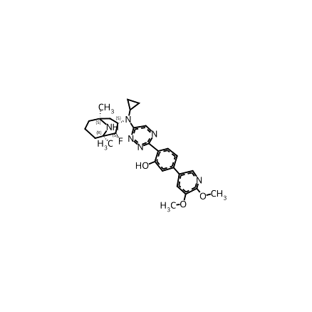 COc1cc(-c2ccc(-c3ncc(N(C4CC4)[C@H]4C[C@]5(C)CCC[C@@](C)(N5)[C@H]4F)nn3)c(O)c2)cnc1OC